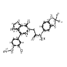 CCN(C(=O)Cn1nc(-c2ccc(OC(C)C)c(Cl)c2)c2[nH]cnc2c1=O)c1ccc2c(c1)OC(F)(F)O2